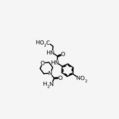 NC(=O)N1CCOCC1.O=C(O)CNC(=O)Nc1ccc([N+](=O)[O-])cc1